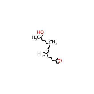 CC(=CCCC(C)C=CC=C(C)CCCc1ccoc1)CO